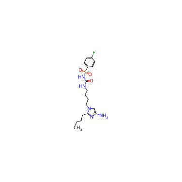 CCCCc1nc(N)cn1CCCCNC(=O)NS(=O)(=O)c1ccc(F)cc1